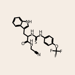 N#CCNC(=O)C(Cc1c[nH]c2ccccc12)NC(=S)Nc1ccc(OC(F)(F)F)cc1